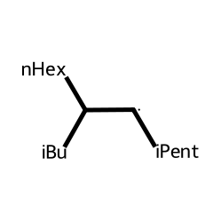 CCCCCCC([CH]C(C)CCC)C(C)CC